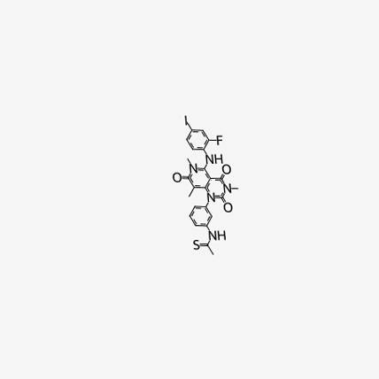 CC(=S)Nc1cccc(-n2c(=O)n(C)c(=O)c3c(Nc4ccc(I)cc4F)n(C)c(=O)c(C)c32)c1